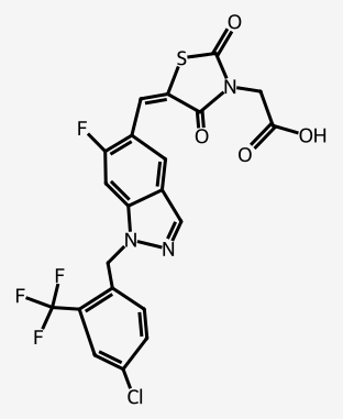 O=C(O)CN1C(=O)SC(=Cc2cc3cnn(Cc4ccc(Cl)cc4C(F)(F)F)c3cc2F)C1=O